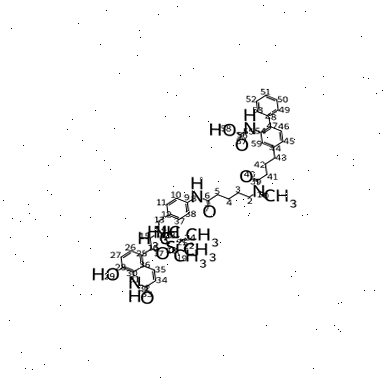 CN(CCCCC(=O)Nc1ccc(CNCC(O[Si](C)(C)C(C)(C)C)c2ccc(O)c3[nH]c(=O)ccc23)cc1)C(=O)CCCc1ccc(-c2ccccc2)c(NC(=O)O)c1